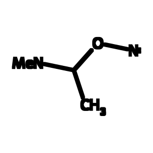 CNC(C)O[N]